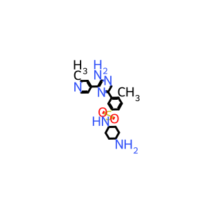 Cc1cc(-c2nc(-c3cc(S(=O)(=O)NC4CCC(N)CC4)ccc3C)cnc2N)ccn1